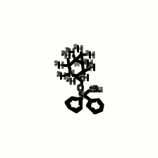 [2H]N1C([2H])([2H])[C@]2([2H])C([2H])([2H])[C@]2([2H])C([2H])([2H])[C@@]1([2H])CO[Si](c1ccccc1)(c1ccccc1)C(C)(C)C